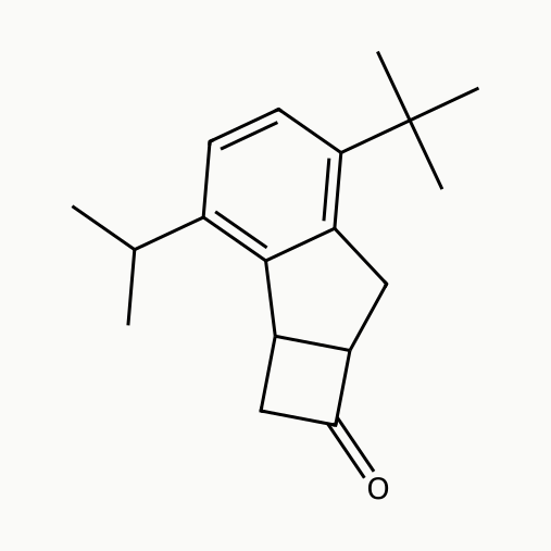 CC(C)c1ccc(C(C)(C)C)c2c1C1CC(=O)C1C2